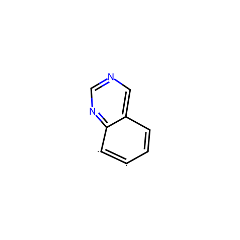 [c]1[c]c2ncncc2cc1